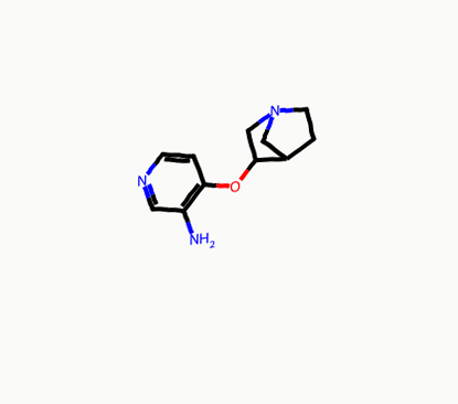 Nc1cnccc1OC1CN2CCC1C2